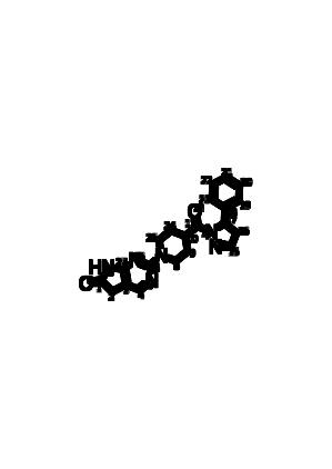 O=C1Cc2cnc(N3CCC(C(=O)N4N=CCC4c4ccccc4)CC3)nc2N1